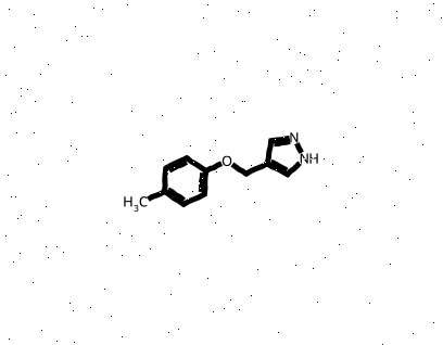 Cc1ccc(OCc2cn[nH]c2)cc1